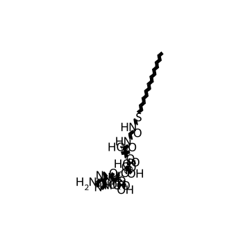 CCCCCCCCCCCCCCCCCCSCCNC(=O)CCNC(=O)[C@H](O)C(C)(C)COP(=O)(O)OP(=O)(O)OC[C@H]1O[C@@H](n2cnc3c(N)ncnc32)[C@H](O)[C@@H]1OP(=O)(O)O